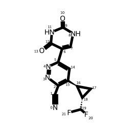 N#Cc1nnc(-c2c[nH]c(=O)[nH]c2=O)cc1[C@H]1C[C@@H]1C(F)F